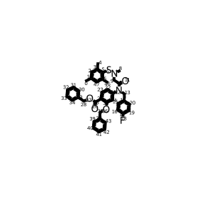 Cc1cc(C)c(SN(C)CC(=O)N(Cc2ccc(F)cc2)c2ccc(C(=O)OCc3ccccc3)c(OCc3ccccc3)c2)c(C)c1